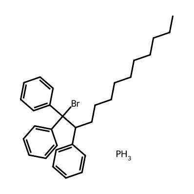 CCCCCCCCCCC(c1ccccc1)C(Br)(c1ccccc1)c1ccccc1.P